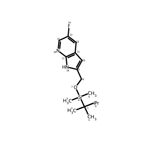 CC(C)C(C)(C)[Si](C)(C)OCc1cc2cc(F)cnc2[nH]1